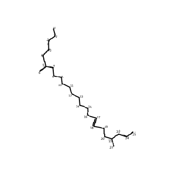 [CH2]CCCCC(C)CCCCCCCCCCC=CCCC(C)CC[CH2]